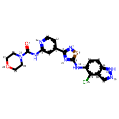 O=C(Nc1cc(-c2nsc(Nc3ccc4[nH]ncc4c3Cl)n2)ccn1)N1CCOCC1